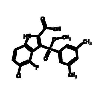 COP(=O)(c1cc(C)cc(C)c1)c1c(C(=O)O)[nH]c2ccc(Cl)c(F)c12